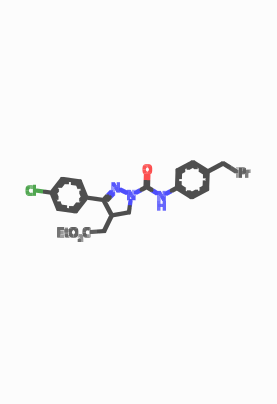 CCOC(=O)CC1CN(C(=O)Nc2ccc(CC(C)C)cc2)N=C1c1ccc(Cl)cc1